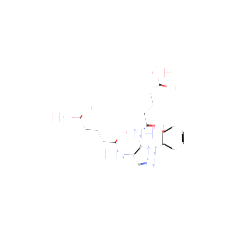 O=C(O)CCCC(=O)Nc1cnn(-c2ccccc2)c1NC(=O)CCCC(=O)O